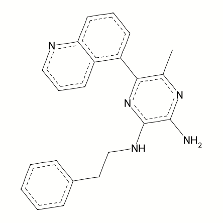 Cc1nc(N)c(NCCc2ccccc2)nc1-c1cccc2ncccc12